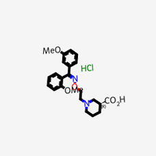 COc1cccc(C(=NOCCN2CCC[C@@H](C(=O)O)C2)c2ccccc2OC)c1.Cl